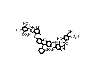 Cc1cc(C)c(NS(=O)(=O)c2cc(C(=O)O)c(O)cc2O)c(C)c1/N=c1/ccc2c(-c3ccccc3S(=O)(=O)O)c3ccc(Nc4c(C)cc(C)c(NS(=O)(=O)c5cc(C(=O)O)c(O)cc5O)c4C)cc3oc-2c1